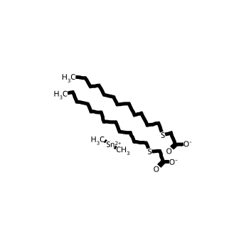 CCCCCCCCCCCCSCC(=O)[O-].CCCCCCCCCCCCSCC(=O)[O-].[CH3][Sn+2][CH3]